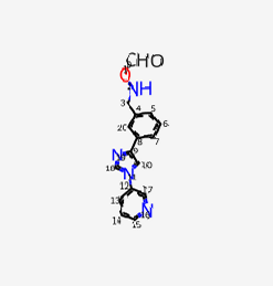 O=CONCc1cccc(-c2cn(-c3cccnc3)cn2)c1